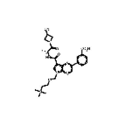 C[C@@H](NC(=O)c1cn(COCC[Si](C)(C)C)c2ncc(-c3cccc(C(=O)O)c3)nc12)C(=O)N1CC(C#N)C1